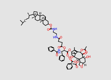 CC(=O)O[C@H]1C(=O)[C@@]2(C)[C@H]([C@H](OC(=O)c3ccccc3)[C@]3(O)C[C@H](OC(=O)[C@H](OC(=O)CCC(=O)NCCNC(=O)OC4CC[C@@]5(C)C(=CC[C@H]6[C@@H]7CC[C@H]([C@H](C)CCCC(C)C)[C@@]7(C)CC[C@@H]65)C4)[C@@H](NC(=O)c4ccccc4)c4ccccc4)C(C)=C1C3(C)C)[C@]1(OC(C)=O)CO[C@@H]1C[C@@H]2O